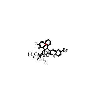 COc1nc2ccc(Br)cc2cc1C(c1ccccc1)C(O)(CCN(C)C)c1cccc(F)c1F